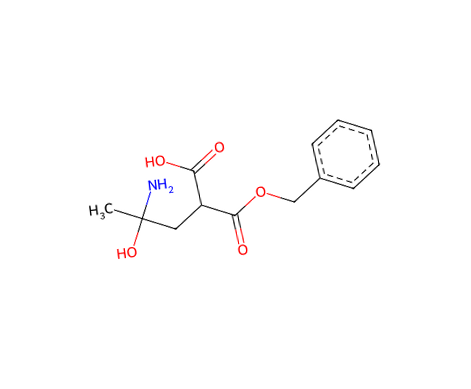 CC(N)(O)CC(C(=O)O)C(=O)OCc1ccccc1